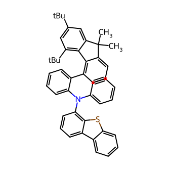 CC(C)(C)c1cc(C(C)(C)C)c2c(c1)C(C)(C)c1cccc(-c3ccccc3N(c3ccccc3)c3cccc4c3sc3ccccc34)c1-2